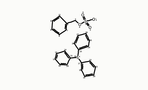 O=S(=O)([O-])OCc1ccccc1.c1ccc([S+](c2ccccc2)c2ccccc2)cc1